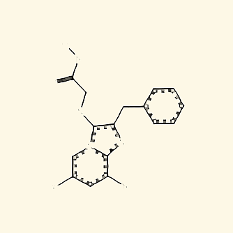 Nc1cc(Br)cn2c(NCC(=O)NO)c(Cc3ccccc3)nc12